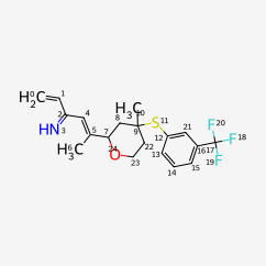 C=CC(=N)/C=C(\C)C1CC(C)(Sc2cccc(C(F)(F)F)c2)CCO1